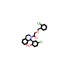 O=C(COCc1ccccc1Cl)N1CCc2ccccc2C1c1cc(Cl)ccc1O